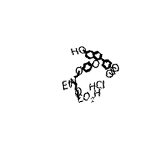 CCN(CCOCC(=O)O)CCOc1ccc(Oc2c(-c3ccc(S(C)(=O)=O)cc3)ccc3cc(O)ccc23)cc1.Cl